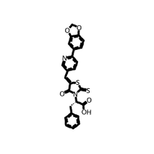 O=C(O)[C@H](Cc1ccccc1)N1C(=O)/C(=C/c2ccc(-c3ccc4c(c3)OCO4)nc2)SC1=S